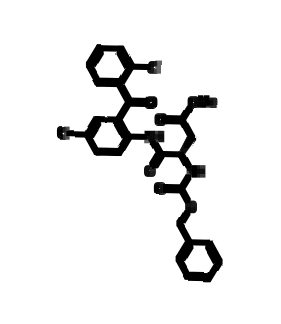 COC(=O)C[C@@H](NC(=O)OCc1ccccc1)C(=O)Nc1ccc(Cl)cc1C(=O)c1ccccc1Cl